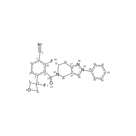 N#Cc1ccc(C2(F)COC2)c(C(=O)N2CCc3nn(-c4ccccc4)cc3C2)c1F